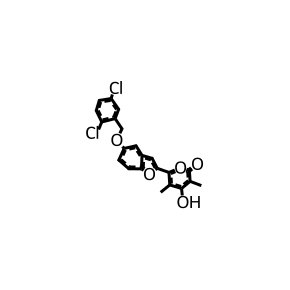 Cc1c(-c2cc3cc(OCc4cc(Cl)ccc4Cl)ccc3o2)oc(=O)c(C)c1O